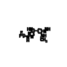 CCNc1cc(-c2c[nH]c3nc(NC4CC(F)(F)C4)ncc23)ccc1N=N